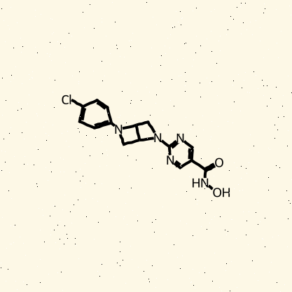 O=C(NO)c1cnc(N2CC3C2CN3c2ccc(Cl)cc2)nc1